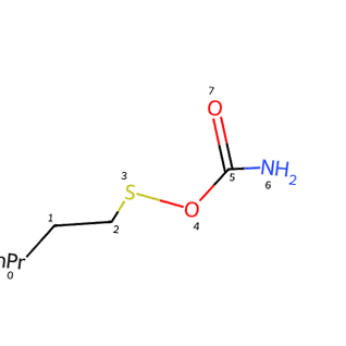 CCCCCSOC(N)=O